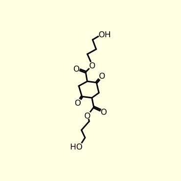 O=C1CC(C(=O)OCCCO)C(=O)CC1C(=O)OCCCO